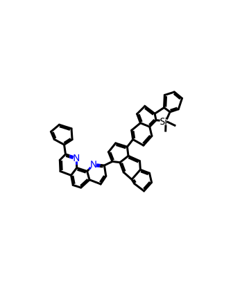 C[Si]1(C)c2ccccc2-c2ccc3cc(-c4ccc(-c5ccc6ccc7ccc(-c8ccccc8)nc7c6n5)c5cc6ccccc6cc45)ccc3c21